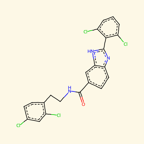 O=C(NCCc1ccc(Cl)cc1Cl)c1ccc2nc(-c3c(Cl)cccc3Cl)[nH]c2c1